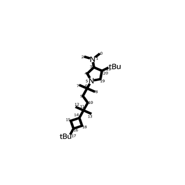 CN(C)C1CN(C(C)(C)CCC(C)(C)C2CC(C(C)(C)C)C2)CC1C(C)(C)C